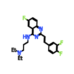 CCN(CC)CCCNc1nc(C=Cc2ccc(F)c(F)c2)nc2ccc(F)cc12